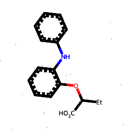 CCC(Oc1ccccc1Nc1ccccc1)C(=O)O